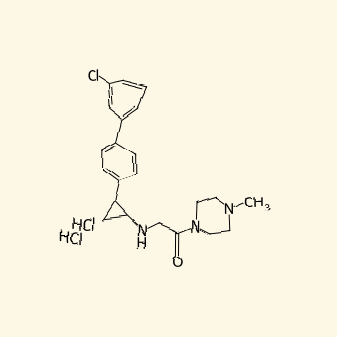 CN1CCN(C(=O)CNC2CC2c2ccc(-c3cccc(Cl)c3)cc2)CC1.Cl.Cl